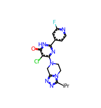 CC(C)c1nnc2n1CCN(c1nc(-c3ccnc(F)c3)[nH]c(=O)c1Cl)C2